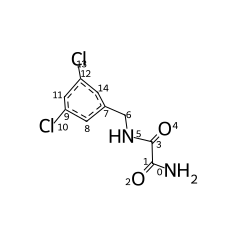 NC(=O)C(=O)NCc1cc(Cl)cc(Cl)c1